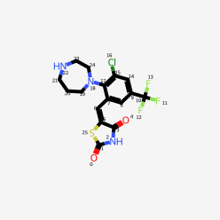 O=C1NC(=O)C(=Cc2cc(C(F)(F)F)cc(Cl)c2N2CCCNCC2)S1